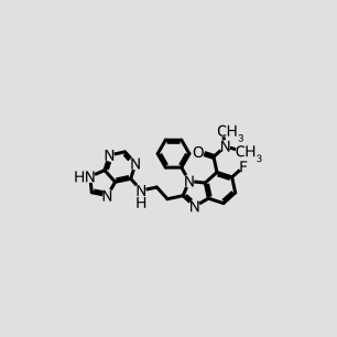 CN(C)C(=O)c1c(F)ccc2nc(CCNc3ncnc4[nH]cnc34)n(-c3ccccc3)c12